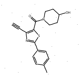 C#Cc1nc(-c2ccc(C)cc2)sc1C(=O)N1CCC(O)CC1